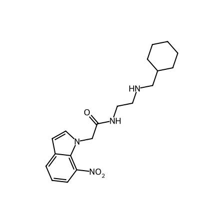 O=C(Cn1ccc2cccc([N+](=O)[O-])c21)NCCNCC1CCCCC1